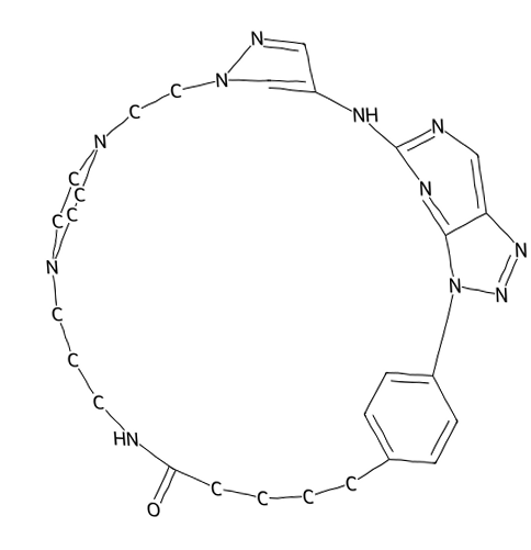 O=C1CCCCc2ccc(cc2)-n2nnc3cnc(nc32)Nc2cnn(c2)CCN2CCN(CCCN1)CC2